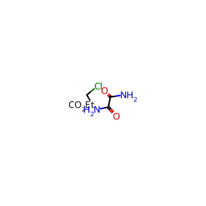 CCOC(=O)CCl.NC(=O)C(N)=O